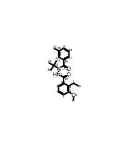 CCc1c(OC)cccc1C(=O)NN(C(=O)c1cccc(C)c1)C(C)(C)C